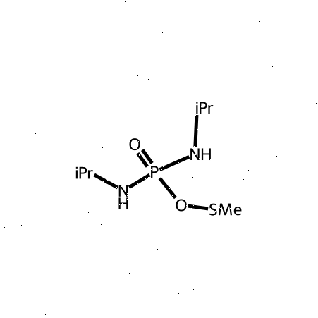 CSOP(=O)(NC(C)C)NC(C)C